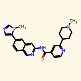 CN1CCC(c2cc(C(=O)Nc3cc4cc(-c5cncn5C)ccc4cn3)ccn2)CC1